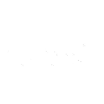 CC(=O)C1CCN(Cc2ccc(Nc3nccc(Nc4ccnc(-c5cccc(C)n5)n4)n3)cc2)C1